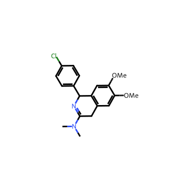 COc1cc2c(cc1OC)C(c1ccc(Cl)cc1)N=C(N(C)C)C2